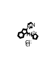 C1=CC[C]([Hf+2][CH]2C(n3ccnc3)=Cc3ccccc32)=C1.[Cl-].[Cl-]